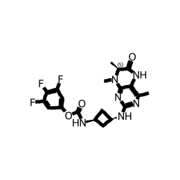 Cc1nc(N[C@H]2C[C@H](NC(=O)Oc3cc(F)c(F)c(F)c3)C2)nc2c1NC(=O)[C@H](C)N2C